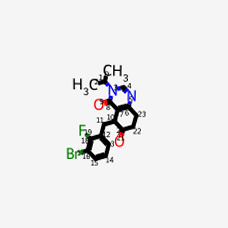 CC(C)n1cnc2c(c1=O)C(Cc1cccc(Br)c1F)C(=O)CC2